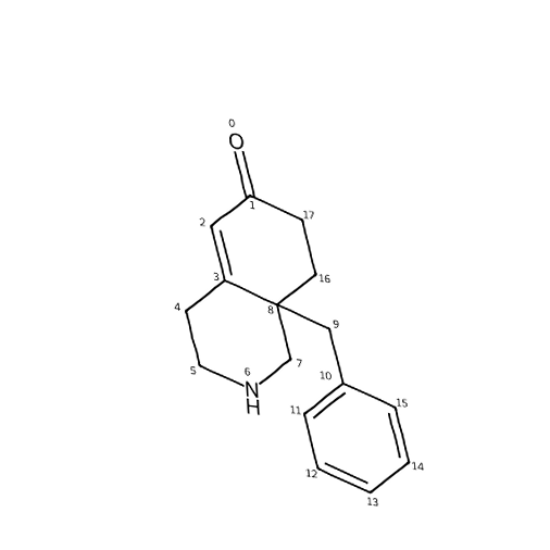 O=C1C=C2CCNCC2(Cc2ccccc2)CC1